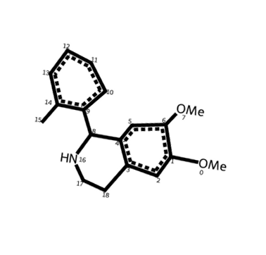 COc1cc2c(cc1OC)C(c1ccccc1C)NCC2